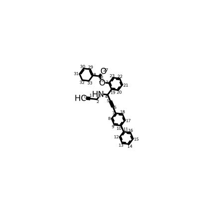 C#CCNC(C#Cc1ccc(-c2ccccc2)cc1)c1ccccc1OC(=O)C1=CC=CCC1